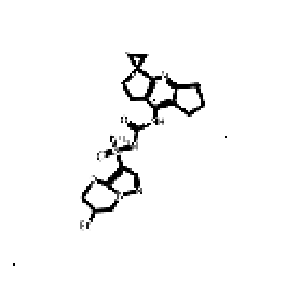 CCC1COc2c(S(N)(=O)=NC(=O)Nc3c4c(nc5c3CCC53CC3)CCC4)cnn2C1